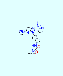 C=Cc1coc(C(=O)N[C@H]2CCc3cc(-n4c(-c5cccnc5N)nc5ccc(-n6cccn6)nc54)ccc32)n1